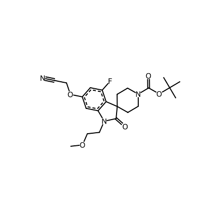 COCCN1C(=O)C2(CCN(C(=O)OC(C)(C)C)CC2)c2c(F)cc(OCC#N)cc21